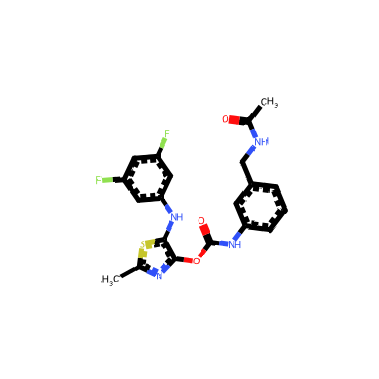 CC(=O)NCc1cccc(NC(=O)Oc2nc(C)sc2Nc2cc(F)cc(F)c2)c1